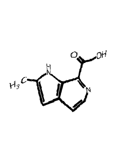 Cc1cc2ccnc(C(=O)O)c2[nH]1